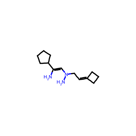 N/C(=C\N(N)CC=C1CCC1)C1CCCC1